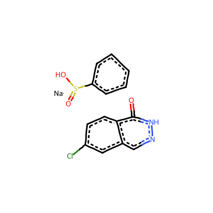 O=S(O)c1ccccc1.O=c1[nH]ncc2cc(Cl)ccc12.[Na]